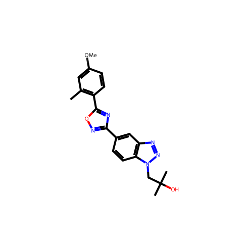 COc1ccc(-c2nc(-c3ccc4c(c3)nnn4CC(C)(C)O)no2)c(C)c1